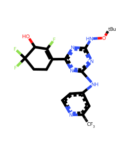 CC(C)(C)ONc1nc(Nc2ccnc(C(F)(F)F)c2)nc(C2=C(F)C(O)C(F)(F)CC2)n1